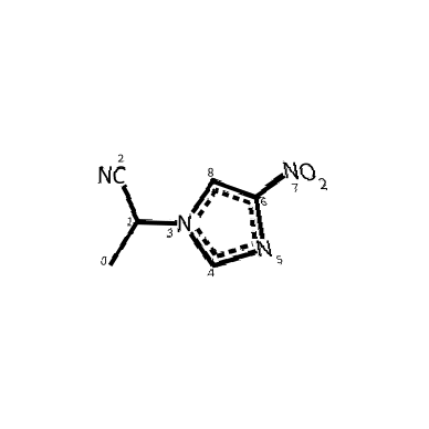 CC(C#N)n1cnc([N+](=O)[O-])c1